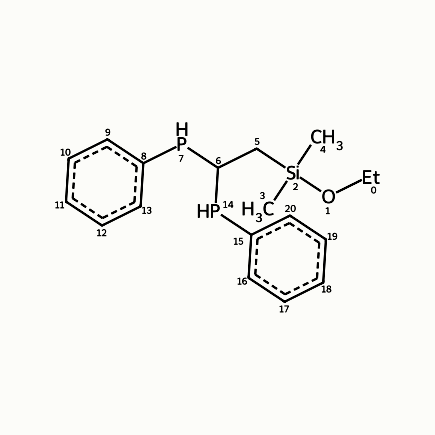 CCO[Si](C)(C)CC(Pc1ccccc1)Pc1ccccc1